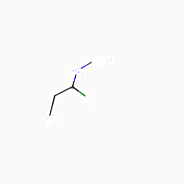 CCCC[C](Cl)NC(=O)O